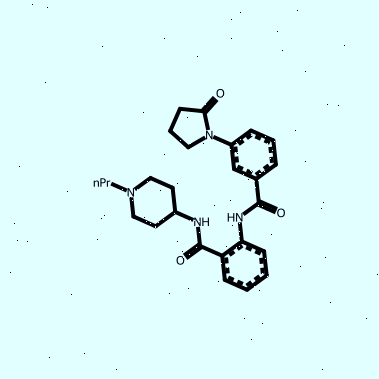 CCCN1CCC(NC(=O)c2ccccc2NC(=O)c2cccc(N3CCCC3=O)c2)CC1